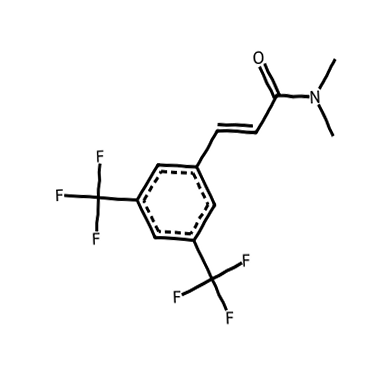 CN(C)C(=O)C=Cc1cc(C(F)(F)F)cc(C(F)(F)F)c1